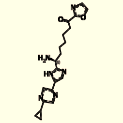 N[C@@H](CCCCCC(=O)c1ncco1)c1ncc(-c2cnc(C3CC3)cn2)[nH]1